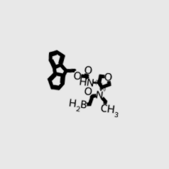 BCC(=O)N(CC)[C@H]1COC[C@@H]1NC(=O)OCC1c2ccccc2-c2ccccc21